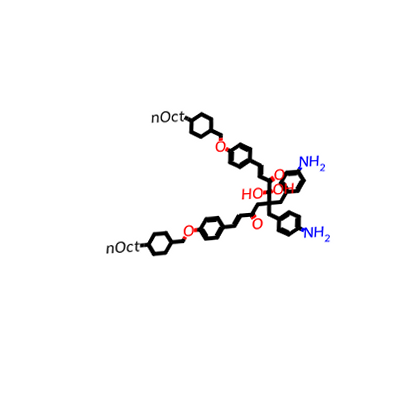 CCCCCCCCC1CCC(COc2ccc(C=CC(=O)CC(Cc3ccc(N)cc3)(Cc3ccc(N)cc3)C(O)(O)C(=O)C=Cc3ccc(OCC4CCC(CCCCCCCC)CC4)cc3)cc2)CC1